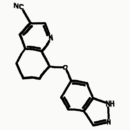 N#Cc1cnc2c(c1)CCCC2Oc1ccc2cn[nH]c2c1